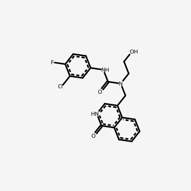 O=C(Nc1ccc(F)c(Cl)c1)N(CCO)Cc1c[nH]c(=O)c2ccccc12